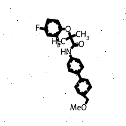 COCc1ccc(-c2ccc(NC(=O)C(C)(C)Oc3ccc(F)cc3F)cc2)cc1